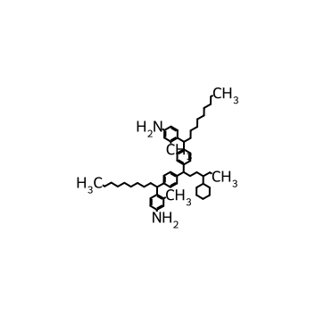 CCCCCCCCCC(c1ccc(C(CCC(CC)C2CCCCC2)c2ccc(C(CCCCCCCCC)c3ccc(N)cc3C)cc2)cc1)c1ccc(N)cc1C